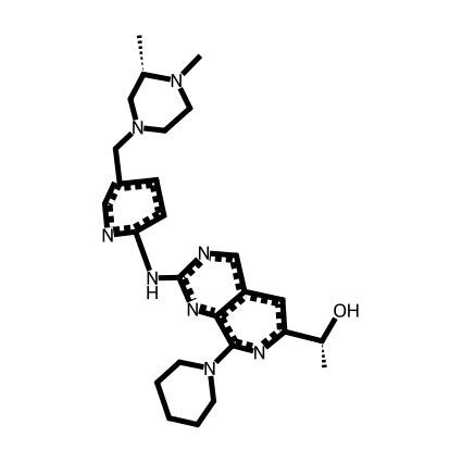 C[C@@H](O)c1cc2cnc(Nc3ccc(CN4CCN(C)[C@@H](C)C4)cn3)nc2c(N2CCCCC2)n1